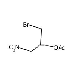 CC(=O)OC(CBr)C[N+](=O)[O-]